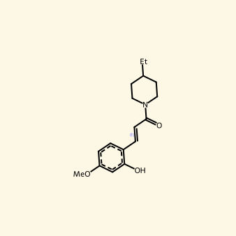 CCC1CCN(C(=O)/C=C/c2ccc(OC)cc2O)CC1